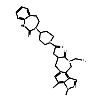 Cn1ncc2c3c(cc(Cl)c21)CC(CC(=O)N1CCC(N2CCc4ccccc4NC2=O)CC1)C(=O)N(CC(F)(F)F)C3